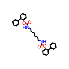 O=C(NCCCCCCNC(=O)Oc1ccccc1-c1ccccc1)Oc1ccccc1-c1ccccc1